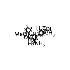 COc1ccccc1-n1c(=O)[nH]c2c(C(N)=O)nc(-c3ccc(C(C)(C)O)cc3)nc21